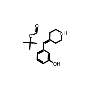 CC(C)(C)OC=O.Oc1cccc(C=C2CCNCC2)c1